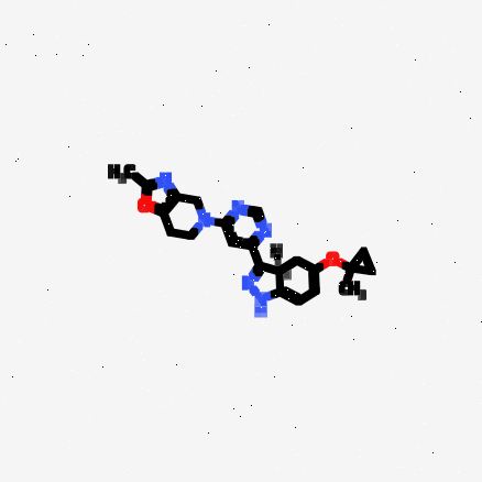 Cc1nc2c(o1)CCN(c1cc(C3=NNC4=CC=C(OC5(C)CC5)C[C@@H]43)ncn1)C2